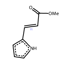 COC(=O)/C=C/c1ccc[nH]1